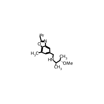 CO[C@@H](C)[C@@H](C)NCc1cc(C)c2oc(C(C)C)nc2c1